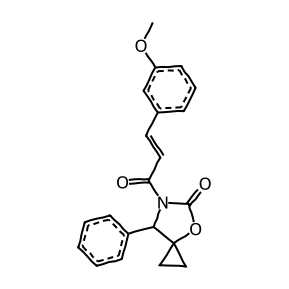 COc1cccc(C=CC(=O)N2C(=O)OC3(CC3)C2c2ccccc2)c1